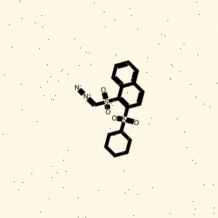 [N-]=[N+]=CS(=O)(=O)c1c(S(=O)(=O)C2CCCCC2)ccc2ccccc12